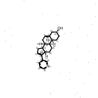 O[C@H]1CC[C@H]2C(=CC[C@H]3[C@@H]4CC=C(c5cccnc5)[C@H]4CC[C@@H]32)C1